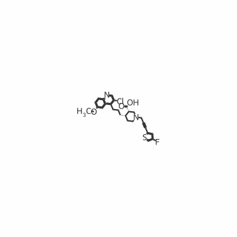 COc1ccc2ncc(Cl)c(CCC[C@H]3CCN(CC#Cc4cc(F)cs4)C[C@H]3C(=O)O)c2c1